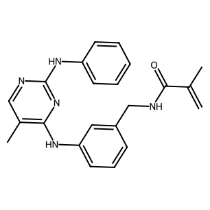 C=C(C)C(=O)NCc1cccc(Nc2nc(Nc3ccccc3)ncc2C)c1